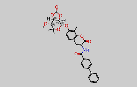 CO[C@@H]1[C@H]2OC(=O)O[C@H]2[C@H](Oc2ccc3cc(NC(=O)c4ccc(-c5ccccc5)cc4)c(=O)oc3c2C)OC1(C)C